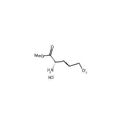 COC(=O)[C@@H](N)CCCC(F)(F)F.Cl